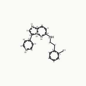 Fc1ccccc1CCNc1ccc2ncc(-c3ccncc3)n2n1